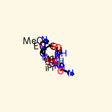 CCn1c(-c2cccnc2[C@H](C)OC)c2c3cc(ccc31)N1CCO[C@@H](C[C@H](NC(=O)[C@H](C(C)C)N(C)C(=O)[C@@]3(F)CCN(C(=O)C#CC(C)(C)N4CCC4)C3)C(=O)N3CCC[C@H](N3)C(=O)OCC(C)(C)C2)C1